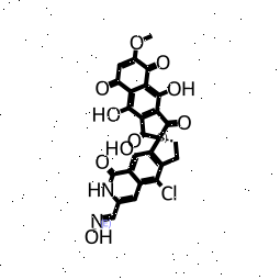 COC1=CC(=O)c2c(O)c3c(c(O)c2C1=O)C(=O)[C@]1(CCc2c1c(O)c1c(=O)[nH]c(/C=N/O)cc1c2Cl)C3=O